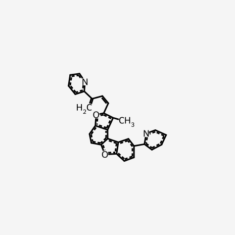 C=C(/C=C\c1oc2ccc3oc4ccc(-c5ccccn5)cc4c3c2c1C)c1ccccn1